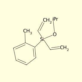 C=C[Si](C=C)(OC(C)C)c1ccccc1C